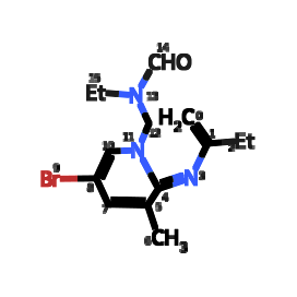 C=C(CC)/N=c1/c(C)cc(Br)cn1CN(C=O)CC